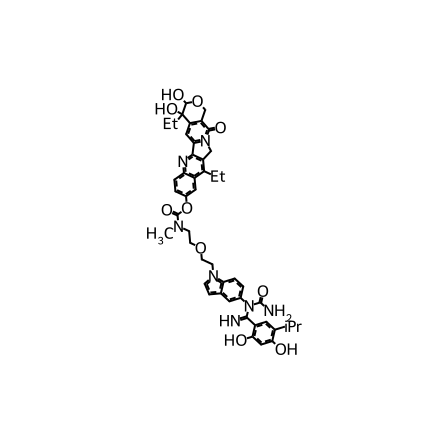 CCc1c2c(nc3ccc(OC(=O)N(C)CCOCCn4ccc5cc(N(C(=N)c6cc(C(C)C)c(O)cc6O)C(N)=O)ccc54)cc13)-c1cc3c(c(=O)n1C2)COC(O)C3(O)CC